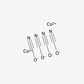 N#C[O-].N#C[O-].N#C[O-].N#C[O-].[Co+2].[Co+2]